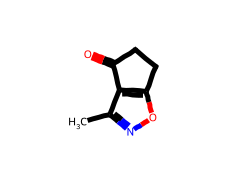 Cc1noc2c1C(=O)CC2